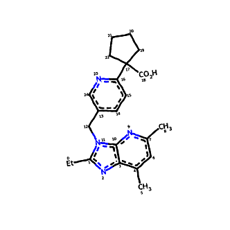 CCc1nc2c(C)cc(C)nc2n1Cc1ccc(C2(C(=O)O)CCCC2)nc1